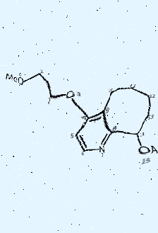 COCCOc1ccnc2c1CCCCC2OC(C)=O